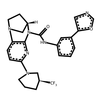 O=C(Nc1cccc(-c2cnco2)c1)N1c2nc(N3CCC[C@H](C(F)(F)F)C3)ccc2N2CC[C@H]1C2